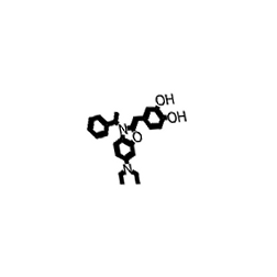 CCN(CC)c1ccc2c(c1)O/C(=C\c1ccc(O)c(O)c1)N2C(C)c1ccccc1